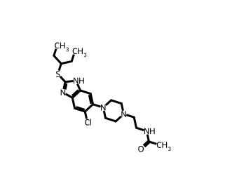 CCC(CC)Sc1nc2cc(Cl)c(N3CCN(CCNC(C)=O)CC3)cc2[nH]1